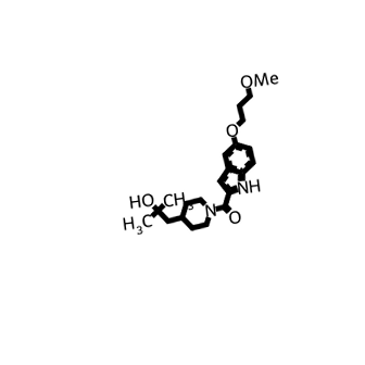 COCCCOc1ccc2[nH]c(C(=O)N3CCC(CC(C)(C)O)CC3)cc2c1